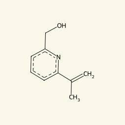 C=C(C)c1cccc(CO)n1